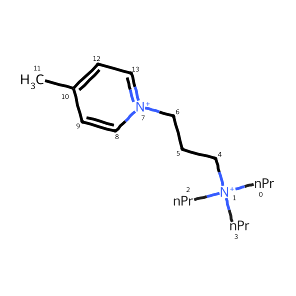 CCC[N+](CCC)(CCC)CCC[n+]1ccc(C)cc1